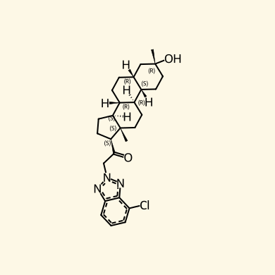 C[C@@]1(O)CC[C@H]2[C@H](CC[C@@H]3[C@@H]2CC[C@]2(C)[C@@H](C(=O)Cn4nc5cccc(Cl)c5n4)CC[C@@H]32)C1